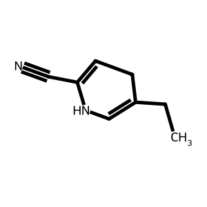 CCC1=CNC(C#N)=CC1